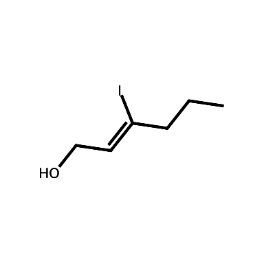 CCC/C(I)=C/CO